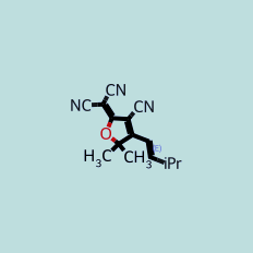 CC(C)/C=C/C1=C(C#N)C(=C(C#N)C#N)OC1(C)C